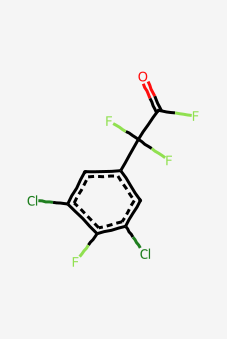 O=C(F)C(F)(F)c1cc(Cl)c(F)c(Cl)c1